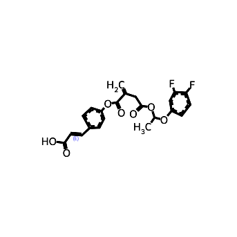 C=C(CC(=O)OC(C)Oc1ccc(F)c(F)c1)C(=O)Oc1ccc(/C=C/C(=O)O)cc1